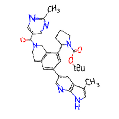 Cc1ncc(C(=O)N2CCc3cc(-c4cnc5[nH]cc(C)c5c4)cc(C4CCCN4C(=O)OC(C)(C)C)c3C2)cn1